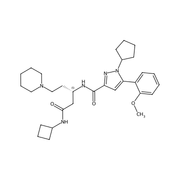 COc1ccccc1-c1cc(C(=O)N[C@@H](CCN2CCCCC2)CC(=O)NC2CCC2)nn1C1CCCC1